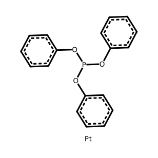 [Pt].c1ccc(OP(Oc2ccccc2)Oc2ccccc2)cc1